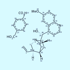 C=C[C@H]1C[N@]2CC[C@H]1C[C@H]2[C@H](O)c1ccnc2ccc(OC)cc12.O=C(O)c1ccc(C(=O)O)cc1